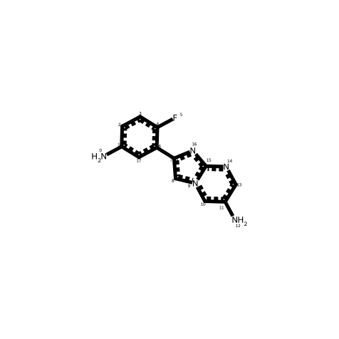 Nc1ccc(F)c(-c2cn3cc(N)cnc3n2)c1